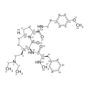 CCN(CC)CC[C@H]1CC[C@H]2CC[C@@H](C(=O)NCCc3ccc(OC)cc3)N2C(=O)[C@H]1NC(=O)[C@@H](Cc1ccccc1)NC